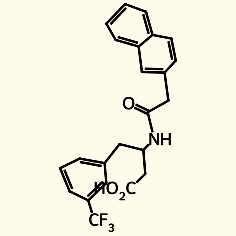 O=C(O)CC(Cc1cccc(C(F)(F)F)c1)NC(=O)Cc1ccc2ccccc2c1